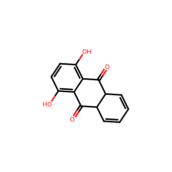 O=C1c2c(O)ccc(O)c2C(=O)C2C=CC=CC12